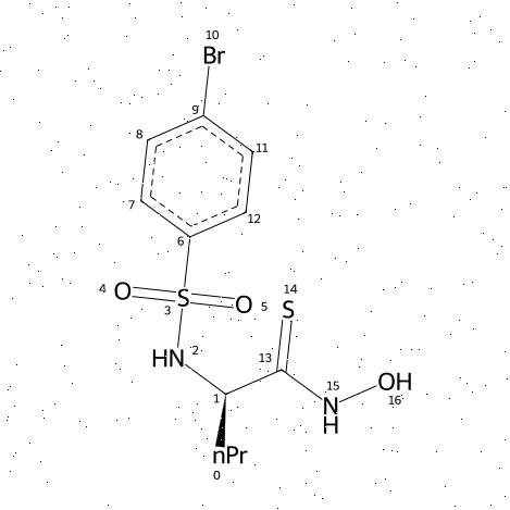 CCC[C@@H](NS(=O)(=O)c1ccc(Br)cc1)C(=S)NO